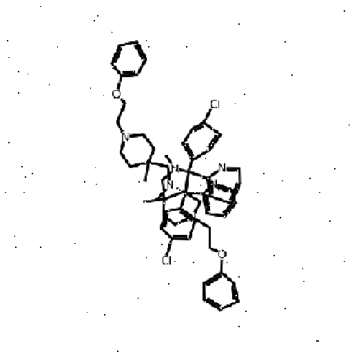 CN(CC1(C)CCN(CCOc2ccccc2)CC1)C(c1ccc(Cl)cc1)(c1ccccn1)[C@](c1ccc(Cl)cc1)(c1ccccn1)N(C)CC1(C)CCN(CCOc2ccccc2)CC1